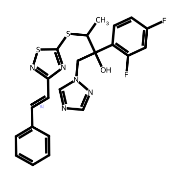 CC(Sc1nc(/C=C/c2ccccc2)ns1)C(O)(Cn1cncn1)c1ccc(F)cc1F